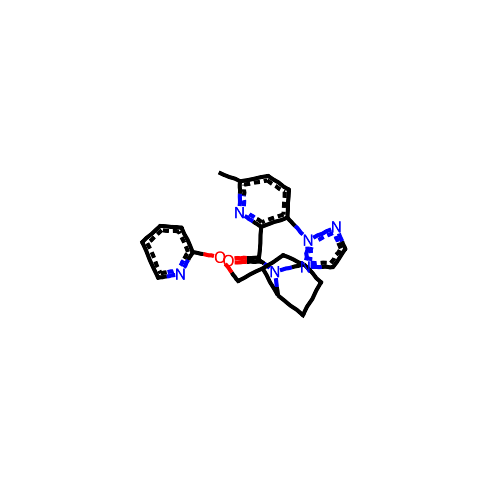 Cc1ccc(-n2nccn2)c(C(=O)N2C3CCC2C(COc2ccccn2)C3)n1